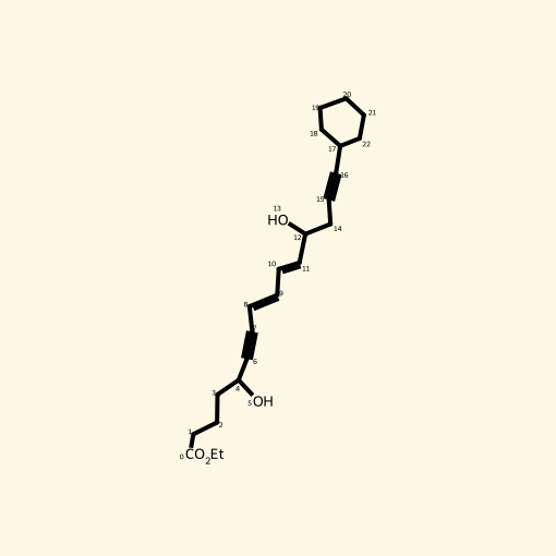 CCOC(=O)CCCC(O)C#C/C=C/C=C/C(O)CC#CC1CCCCC1